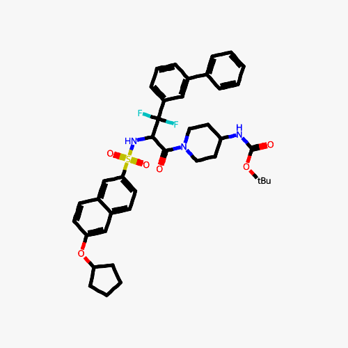 CC(C)(C)OC(=O)NC1CCN(C(=O)C(NS(=O)(=O)c2ccc3cc(OC4CCCC4)ccc3c2)C(F)(F)c2cccc(-c3ccccc3)c2)CC1